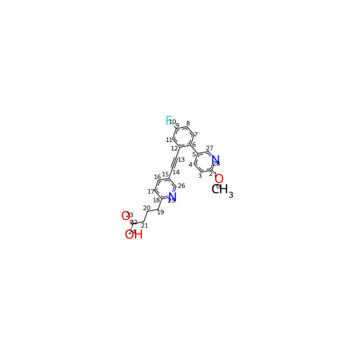 COc1ccc(-c2ccc(F)cc2C#Cc2ccc(CCCC(=O)O)nc2)cn1